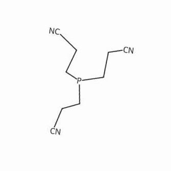 N#CCCP(CCC#N)CCC#N